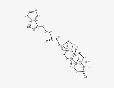 CN1C(=O)CC[C@]2(C)[C@H]3CC[C@]4(C)C(COC(=O)CCCc5c[nH]c6ccccc56)CC[C@H]4[C@@H]3CC[C@@H]12